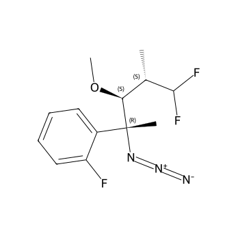 CO[C@@H]([C@H](C)C(F)F)[C@](C)(N=[N+]=[N-])c1ccccc1F